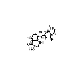 Cn1ccc2c(F)cc(S(=O)(=O)c3ccc(F)c4c(=O)n(O)c(=O)[nH]c34)cc21